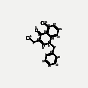 O=c1c(CCl)nn(Cc2ccccc2)c2cccc(Cl)c12